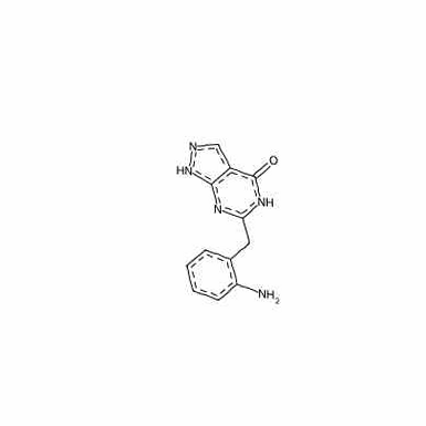 Nc1ccccc1Cc1nc2[nH]ncc2c(=O)[nH]1